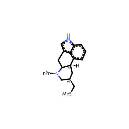 CCCN1C[C@H](CSC)C[C@@H]2c3cccc4[nH]cc(c34)CC21